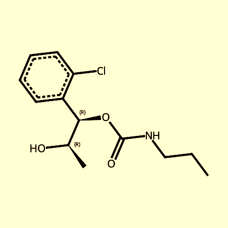 CCCNC(=O)O[C@H](c1ccccc1Cl)[C@@H](C)O